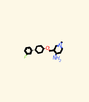 CN1CCC(N)C(CO[C@H]2CC[C@@H](c3cccc(F)c3)CC2)C1